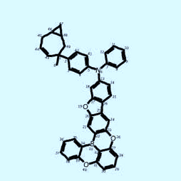 CC1(c2ccc(N(c3ccccc3)c3ccc4c(c3)oc3cc5c(cc34)Oc3cccc4c3B5c3ccccc3O4)cc2)C=CCC2CC2C1